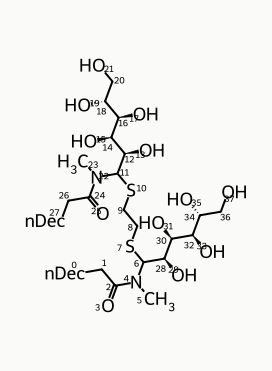 CCCCCCCCCCCC(=O)N(C)C(SCCSC([C@H](O)[C@@H](O)[C@H](O)[C@H](O)CO)N(C)C(=O)CCCCCCCCCCC)[C@H](O)[C@@H](O)[C@H](O)[C@H](O)CO